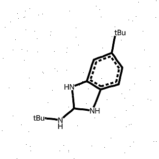 CC(C)(C)NC1Nc2ccc(C(C)(C)C)cc2N1